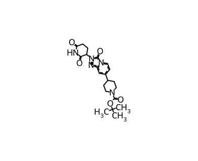 CC(C)(C)OC(=O)N1CCC(c2ccn3c(=O)n(C4CCC(=O)NC4=O)nc3c2)CC1